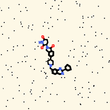 O=C1CCC(N2Cc3cc(C4CCN(Cc5ccc6cnc(-c7ccccc7)nc6c5)CC4)ccc3C2=O)C(=O)N1